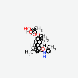 C=C(C)[C@@H]1CC[C@]2(CC(=O)Nc3cccc(C)c3)CC[C@]3(C)[C@H](CC[C@@H]4[C@@]5(C)CC[C@H](OC(=O)CC(C)(C)CC(=O)O)C(C)(C)[C@@H]5CC[C@]43C)[C@@H]12